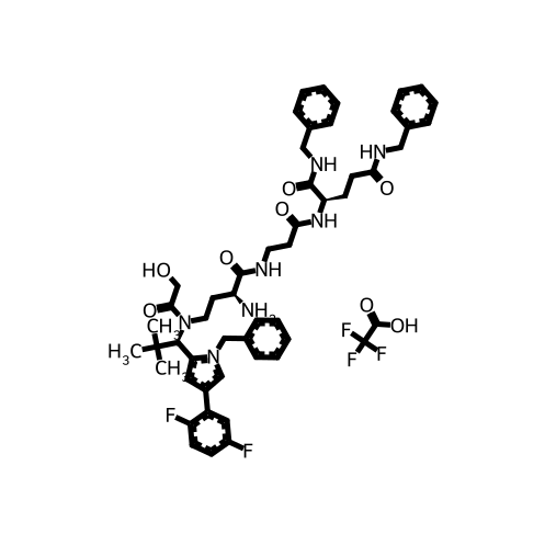 CC(C)(C)[C@H](c1cc(-c2cc(F)ccc2F)cn1Cc1ccccc1)N(CC[C@H](N)C(=O)NCCC(=O)N[C@H](CCC(=O)NCc1ccccc1)C(=O)NCc1ccccc1)C(=O)CO.O=C(O)C(F)(F)F